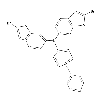 Brc1cc2ccc(N(c3ccc(-c4ccccc4)cc3)c3ccc4cc(Br)sc4c3)cc2s1